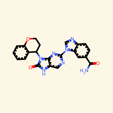 NC(=O)c1ccc2ncn(-c3ncc4[nH]c(=O)n(C5CCOc6ccccc65)c4n3)c2c1